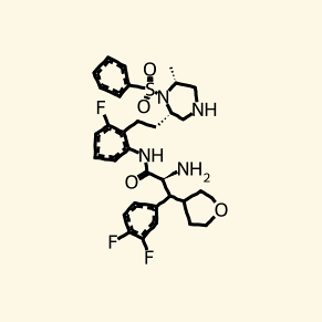 C[C@@H]1CNC[C@H](CCc2c(F)cccc2NC(=O)[C@@H](N)C(c2ccc(F)c(F)c2)C2CCOCC2)N1S(=O)(=O)c1ccccc1